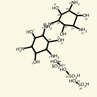 NC1C(O)C(N)C(O)C(N)C1O.NC1C(O)C(N)C(O)C(N)C1O.O=S(=O)(O)O.O=S(=O)(O)O.O=S(=O)(O)O